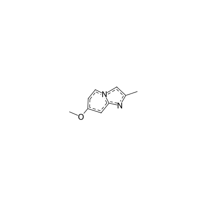 COc1ccn2cc(C)nc2c1